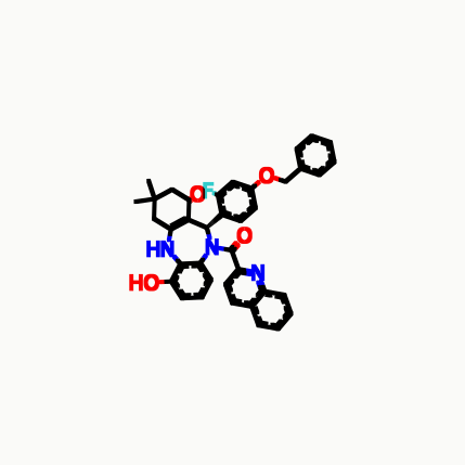 CC1(C)CC(=O)C2=C(C1)Nc1c(O)cccc1N(C(=O)c1ccc3ccccc3n1)[C@@H]2c1ccc(OCc2ccccc2)cc1F